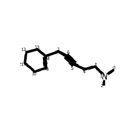 CN(C)CCC#CCC1=CC[CH]CC1